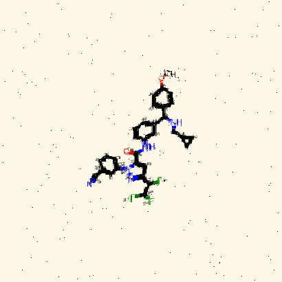 COc1ccc(C(NCC2CC2)c2cccc(NC(=O)c3cc(C(F)C(F)F)nn3-c3cccc(C#N)c3)c2)cc1